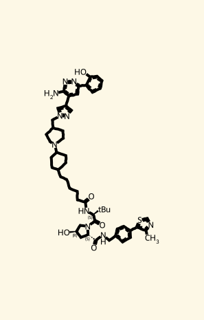 Cc1ncsc1-c1ccc(CNC(=O)[C@@H]2C[C@@H](O)CN2C(=O)[C@@H](NC(=O)CCCCCC2CCC(N3CCC(Cn4cc(-c5cc(-c6ccccc6O)nnc5N)cn4)CC3)CC2)C(C)(C)C)cc1